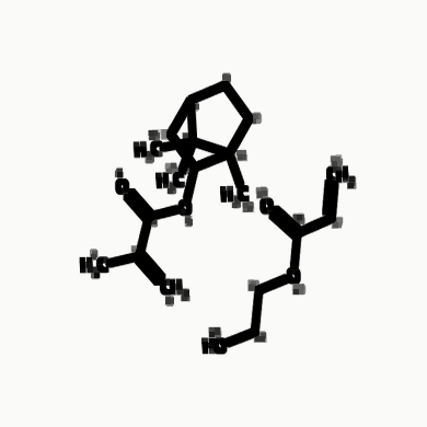 C=C(C)C(=O)OC1CC2CCC1(C)C2(C)C.C=CC(=O)OCCO